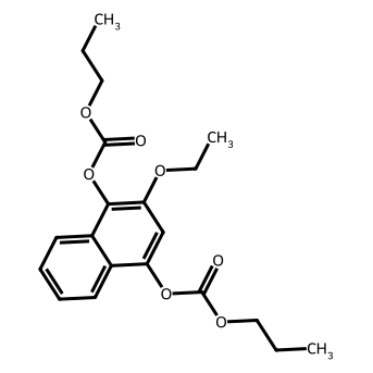 CCCOC(=O)Oc1cc(OCC)c(OC(=O)OCCC)c2ccccc12